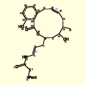 CCCCCSC(=O)N/C=C/CC1CC(O)C(C)C/C=C\Cc2cccc(O)c2C(=O)O1